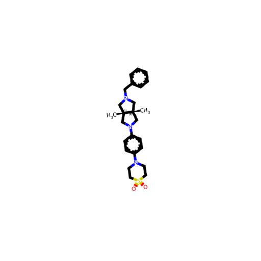 C[C@@]12CN(Cc3ccccc3)C[C@]1(C)CN(c1ccc(N3CCS(=O)(=O)CC3)cc1)C2